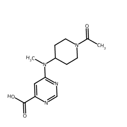 CC(=O)N1CCC(N(C)c2cc(C(=O)O)ncn2)CC1